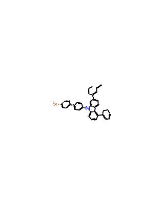 C=C/C=C(\C=C/C)c1ccc2c3c(C4=CC=CCC4)cccc3n(-c3ccc(-c4ccc(Br)cc4)cc3)c2c1